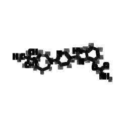 CC(C)(C)N1CCCN(c2ccc(-c3nc4c(OC(N)=O)cccc4[nH]3)cn2)CC1